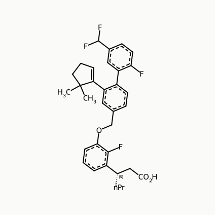 CCC[C@@H](CC(=O)O)c1cccc(OCc2ccc(-c3cc(C(F)F)ccc3F)c(C3=CCCC3(C)C)c2)c1F